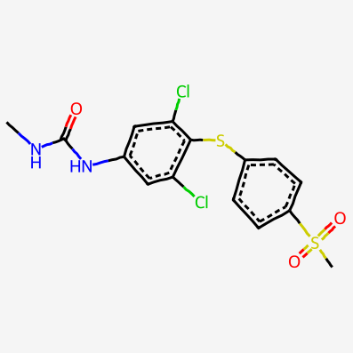 CNC(=O)Nc1cc(Cl)c(Sc2ccc(S(C)(=O)=O)cc2)c(Cl)c1